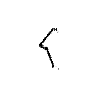 CCCCCCCCCCCCCCCCCCn1cc[n+](CCC[n+]2ccn(CCCCCCCCCCCCCCCCCC)c2)c1